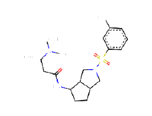 CC(C)[C@@H](CC(=O)NC1CCC2CN(S(=O)(=O)c3cccc(C(F)(F)F)c3)CC21)N(C(=O)O)C(C)(C)C